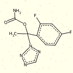 CC(OC(N)=O)(c1ccc(F)cc1F)n1ncnn1